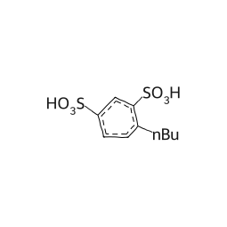 CCCCc1ccc(S(=O)(=O)O)cc1S(=O)(=O)O